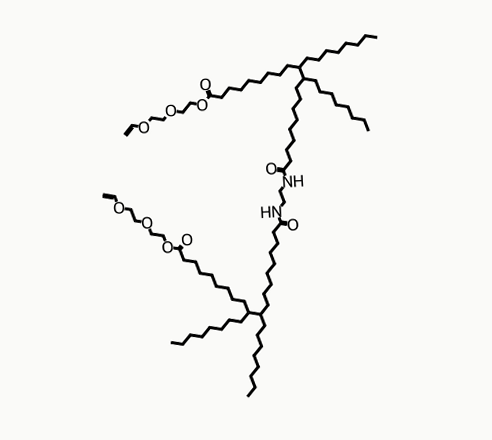 C=COCCOCCOC(=O)CCCCCCCCC(CCCCCCCC)C(CCCCCCCC)CCCCCCCCC(=O)NCCNC(=O)CCCCCCCCC(CCCCCCCC)C(CCCCCCCC)CCCCCCCCC(=O)OCCOCCOC=C